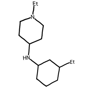 CCC1CCCC(NC2CCN(CC)CC2)C1